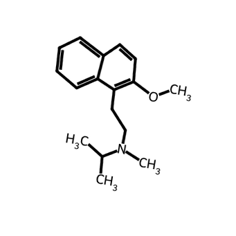 COc1ccc2ccccc2c1CCN(C)C(C)C